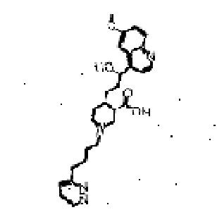 COc1ccc2nccc([C@H](O)CC[C@@H]3CCN(CCCCc4cccnn4)C[C@@H]3C(=O)O)c2c1